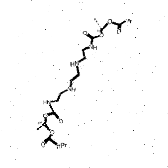 CCCC(=O)O[C@@H](C)OC(=O)NCCNCCNCCNC(=O)O[C@H](C)OC(=O)CCC